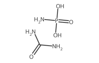 NC(N)=O.NP(=O)(O)O